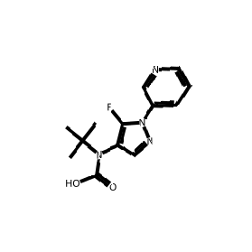 CC(C)(C)N(C(=O)O)c1cnn(-c2cccnc2)c1F